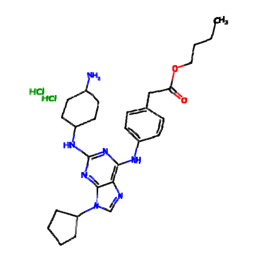 CCCCOC(=O)Cc1ccc(Nc2nc(NC3CCC(N)CC3)nc3c2ncn3C2CCCC2)cc1.Cl.Cl